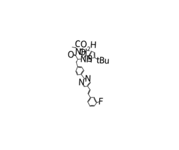 C[C@@H](NC(=O)[C@H](Cc1ccc(-c2ncc(/C=C/c3cccc(F)c3)cn2)cc1)NC(=O)c1ccc(C(C)(C)C)s1)C(=O)O